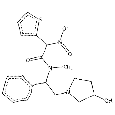 CN(C(=O)C(c1cccs1)[N+](=O)[O-])C(CN1CCC(O)C1)c1ccccc1